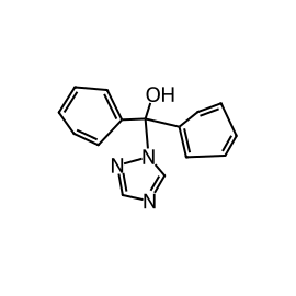 OC(c1ccccc1)(c1ccccc1)n1cncn1